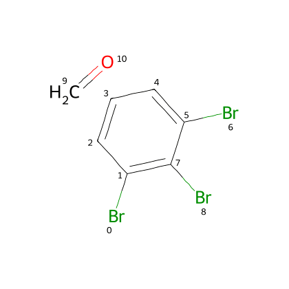 Brc1cccc(Br)c1Br.C=O